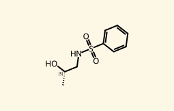 C[C@H](O)CNS(=O)(=O)c1ccccc1